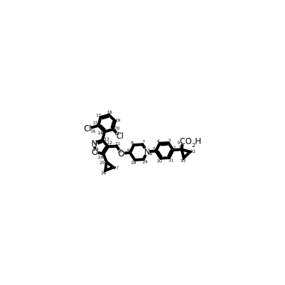 O=C(O)C1(c2ccc(N3CCC(OCc4c(-c5c(Cl)cccc5Cl)noc4C4CC4)CC3)cc2)CC1